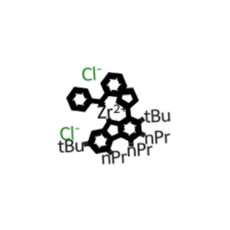 CCCc1cc(C(C)(C)C)cc2c1-c1c(CCC)c(CCC)c(C(C)(C)C)c(C3=CC=CC3)c1[CH]2[Zr+2]=[C](c1ccccc1)c1ccccc1.[Cl-].[Cl-]